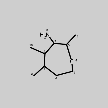 CC1CCCC(C)C(N)C1C